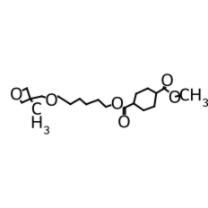 COC(=O)C1CCC(C(=O)OCCCCCCOCC2(C)COC2)CC1